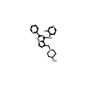 OC1CCN(Cc2ccn3nc(-c4ccccn4)nc(Nc4ccncc4F)c23)CC1